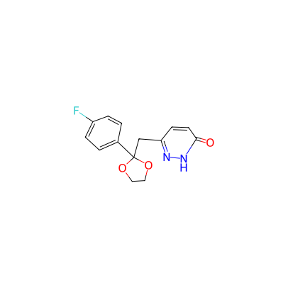 O=c1ccc(CC2(c3ccc(F)cc3)OCCO2)n[nH]1